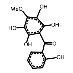 COc1c(O)c(O)c(C(=O)c2ccccc2O)c(O)c1O